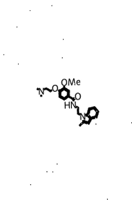 COc1cc(C(=O)NCCn2c(C)cc3ccccc32)ccc1OCCN(C)C